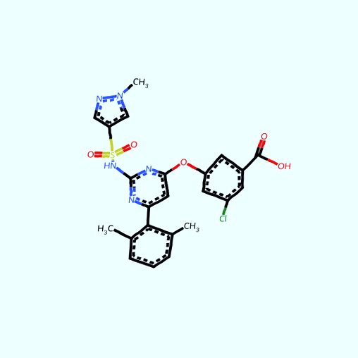 Cc1cccc(C)c1-c1cc(Oc2cc(Cl)cc(C(=O)O)c2)nc(NS(=O)(=O)c2cnn(C)c2)n1